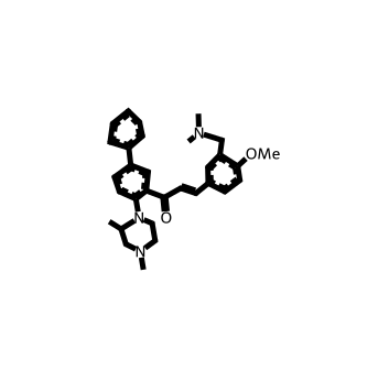 COc1ccc(C=CC(=O)c2cc(-c3ccccc3)ccc2N2CCN(C)CC2C)cc1CN(C)C